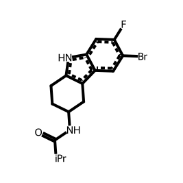 CC(C)C(=O)NC1CCc2[nH]c3cc(F)c(Br)cc3c2C1